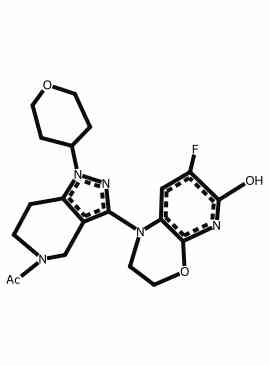 CC(=O)N1CCc2c(c(N3CCOc4nc(O)c(F)cc43)nn2C2CCOCC2)C1